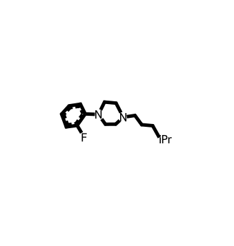 CC(C)CCCN1CCN(c2ccccc2F)CC1